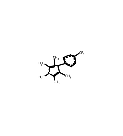 CC1=C(C)N(C)C(C)=C(C)C1c1ccc(C(F)(F)F)cc1